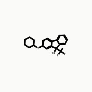 OC1(C(F)(F)F)c2ccccc2-c2ccc(OC3CCCCC3)cc21